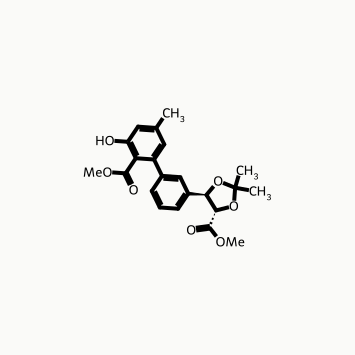 COC(=O)c1c(O)cc(C)cc1-c1cccc([C@H]2OC(C)(C)O[C@@H]2C(=O)OC)c1